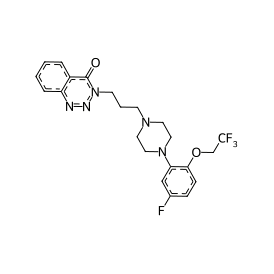 O=c1c2ccccc2nnn1CCCN1CCN(c2cc(F)ccc2OCC(F)(F)F)CC1